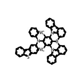 N#Cc1c(N(c2ccccc2)c2ccc3sc4ccccc4c3c2)c(C#N)c2c3c1-n1c4ccccc4c4cccc(c41)B3c1cccc3c4ccccc4n-2c13